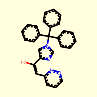 O/C(=C/c1cccnn1)c1cn(C(c2ccccc2)(c2ccccc2)c2ccccc2)cn1